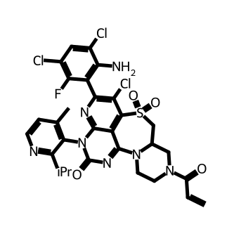 C=CC(=O)N1CCN2c3nc(=O)n(-c4c(C)ccnc4C(C)C)c4nc(-c5c(N)c(Cl)cc(Cl)c5F)c(Cl)c(c34)S(=O)(=O)CC2C1